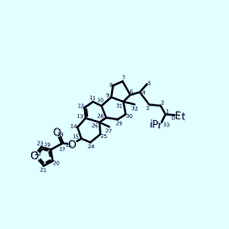 CCC(CCC(C)C1CCC2C3CC=C4CC(OC(=O)c5ccoc5)CCC4(C)C3CCC12C)C(C)C